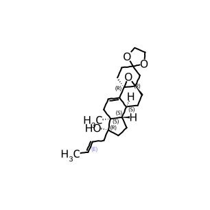 C/C=C/C[C@]1(O)CC[C@H]2[C@@H]3CC[C@@]45CC6(CC[C@@]4(O5)C3=CC[C@@]21C)OCCO6